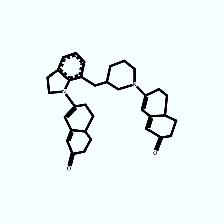 O=C1C=C2C=C(N3CCCC(Cc4cccc5c4N(C4=CC6=CC(=O)CCC6CC4)CC5)C3)CCC2CC1